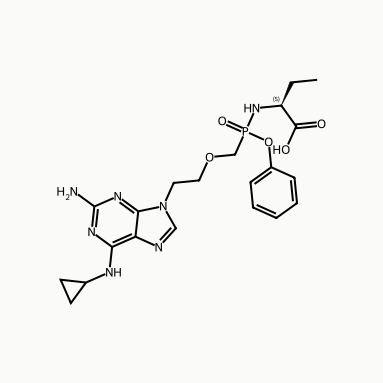 CC[C@H](NP(=O)(COCCn1cnc2c(NC3CC3)nc(N)nc21)Oc1ccccc1)C(=O)O